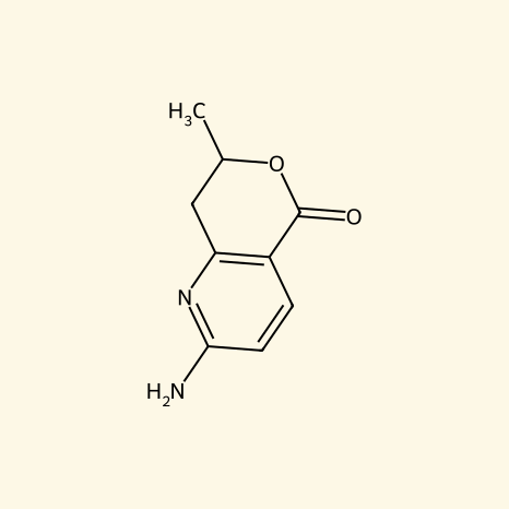 CC1Cc2nc(N)ccc2C(=O)O1